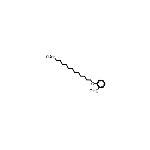 CCCCCCCCCCCCCCCCCCCCCCOc1ccccc1C=O